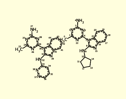 Cc1nc(N)nc(-n2c(NC3CCCC3)nc3ccccc32)n1.Cc1nc(N)nc(-n2c(Nc3cccnn3)nc3ccccc32)n1